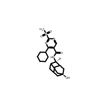 CS(=O)(=O)c1ncc(C(=O)N[C@H]2C3CC4CC2C[C@@](O)(C4)C3)c(C2CCCCC2)n1